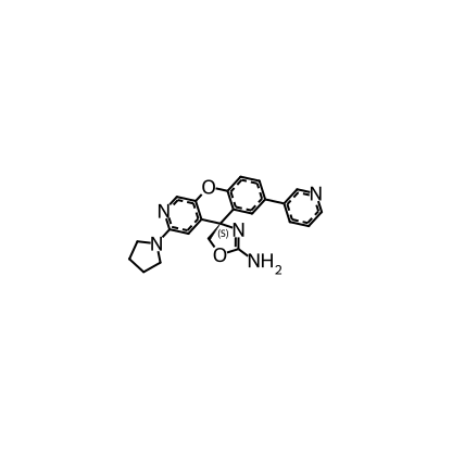 NC1=N[C@@]2(CO1)c1cc(-c3cccnc3)ccc1Oc1cnc(N3CCCC3)cc12